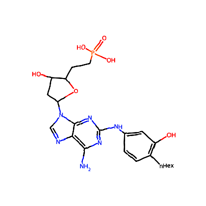 CCCCCCc1ccc(Nc2nc(N)c3ncn(C4CC(O)C(CCP(=O)(O)O)O4)c3n2)cc1O